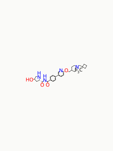 O=C(NC(=O)[C@@H]1C[C@@H](O)CN1)c1ccc(-c2ccc(OCC3CCN(CC4(C(F)(F)F)CCC4)CC3)nc2)cc1